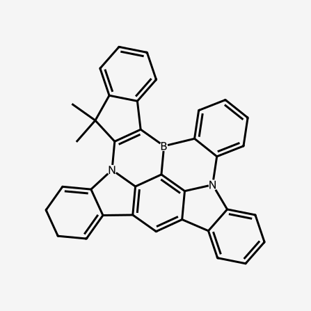 CC1(C)C2=C(B3c4ccccc4-n4c5ccccc5c5cc6c7c(n2c6c3c54)=CCCC=7)c2ccccc21